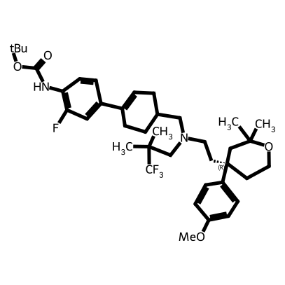 COc1ccc([C@]2(CCN(CC3CC=C(c4ccc(NC(=O)OC(C)(C)C)c(F)c4)CC3)CC(C)(C)C(F)(F)F)CCOC(C)(C)C2)cc1